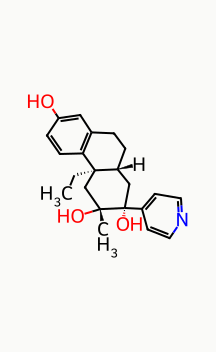 CC[C@@]12C[C@@](C)(O)[C@](O)(c3ccncc3)C[C@H]1CCc1cc(O)ccc12